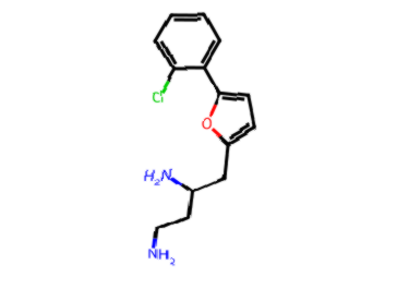 NCCC(N)Cc1ccc(-c2ccccc2Cl)o1